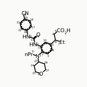 CCCN(c1ccc(C(CC)CC(=O)O)cc1NC(=O)Nc1ccc(C#N)cc1)C1CCOCC1